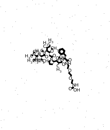 CC[C@H](C)[C@@H]([C@@H](CC(=O)N1CCC[C@H]1[C@H](OC)[C@@H](C)C(=O)N[C@@H](Cc1ccccc1)C(=O)NCCOCCOCCNC(=O)O)OC)N(C)C(=O)[C@@H](N=C(N(C)C)N(C)C)C(C)C